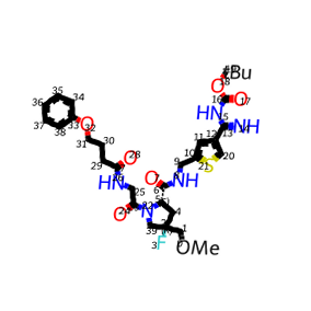 COC[C@@]1(F)C[C@@H](C(=O)NCc2cc(C(=N)NC(=O)OC(C)(C)C)cs2)N(C(=O)CNC(=O)CCCOc2ccccc2)C1